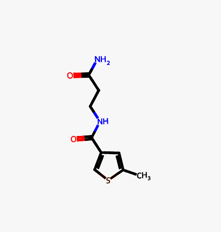 Cc1cc(C(=O)NCCC(N)=O)cs1